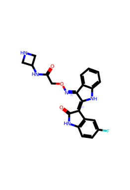 O=C(CO/N=C1/C(=C2\C(=O)Nc3ccc(F)cc32)Nc2ccccc21)NC1CNC1